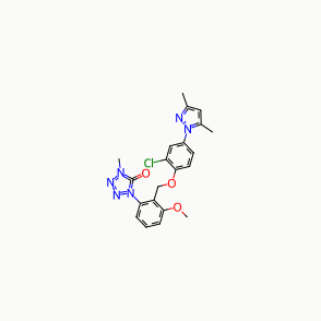 COc1cccc(-n2nnn(C)c2=O)c1COc1ccc(-n2nc(C)cc2C)cc1Cl